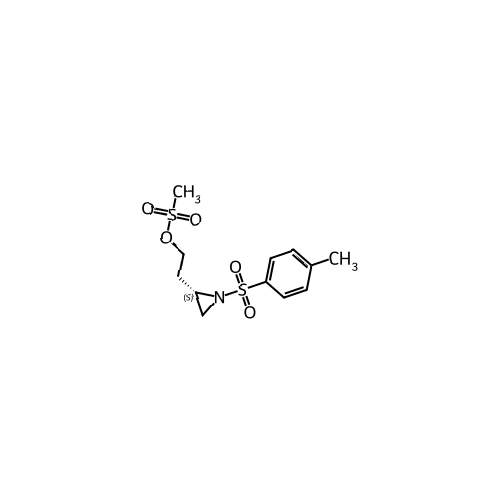 Cc1ccc(S(=O)(=O)N2C[C@@H]2CCOS(C)(=O)=O)cc1